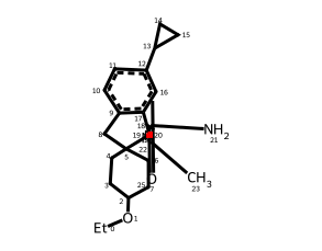 CCOC1CCC2(CC1)Cc1ccc(C3CC3)cc1C21N=C(N)N(C)C1=O